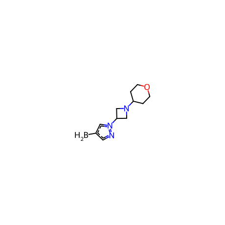 Bc1cnn(C2CN(C3CCOCC3)C2)c1